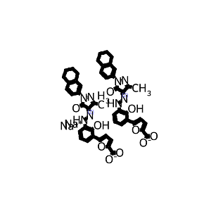 CC1=NN(c2ccc3c(c2)CCCC3)C(=O)/C1=N\Nc1cccc(-c2ccc(C(=O)[O-])o2)c1O.CC1=NN(c2ccc3c(c2)CCCC3)C(=O)/C1=N\Nc1cccc(-c2ccc(C(=O)[O-])o2)c1O.[Na+].[Na+]